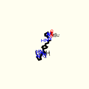 CC(C)(C)OC(=O)N1CCCC1c1ncc(CCc2ccc(-c3cnc(C4CCCN4C(=O)O)[nH]3)cc2)[nH]1